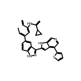 C=C/C(=C\C(=C/C)c1ccc2[nH]nc(-c3cc4c(-c5cccs5)cncc4[nH]3)c2c1)NC(=C)C1CC1